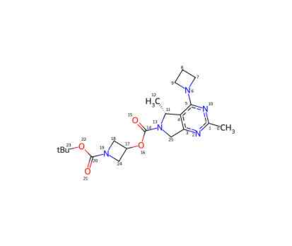 Cc1nc2c(c(N3CCC3)n1)[C@@H](C)N(C(=O)OC1CN(C(=O)OC(C)(C)C)C1)C2